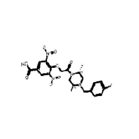 C[C@@H]1CN(Cc2ccc(F)cc2)[C@@H](C)CN1C(=O)COc1c([N+](=O)[O-])cc(C(=O)O)cc1[N+](=O)[O-]